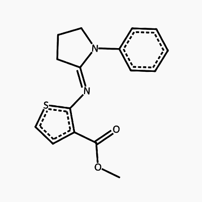 COC(=O)c1ccsc1N=C1CCCN1c1ccccc1